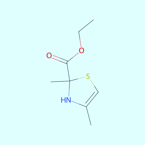 CCOC(=O)C1(C)NC(C)=CS1